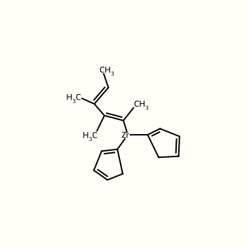 CC=C(C)C(C)=[C](C)[Zr]([C]1=CC=CC1)[C]1=CC=CC1